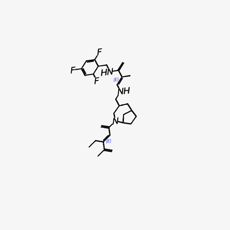 C=C(NCC1C(F)=CC(F)=CC1F)/C(C)=C/NCC1CC2CCC(C2)N(C(=C)/C=C(\CC)C(=C)C)C1